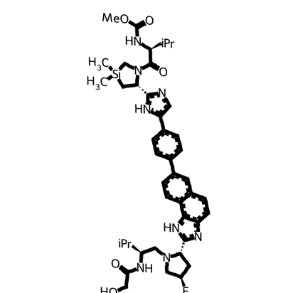 COC(=O)N[C@H](C(=O)N1C[Si](C)(C)C[C@H]1c1ncc(-c2ccc(-c3ccc4c(ccc5nc([C@@H]6C[C@@H](F)CN6C[C@@H](NC(=O)CO)C(C)C)[nH]c54)c3)cc2)[nH]1)C(C)C